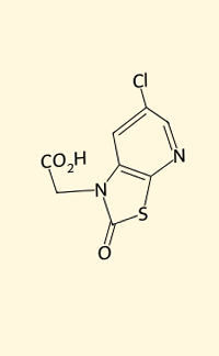 O=C(O)Cn1c(=O)sc2ncc(Cl)cc21